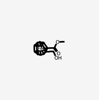 COC(=O)[C]12[CH]3[CH]4[CH]5[CH]1[Fe]45321678[CH]2[CH]1[CH]6[C]7(CO)[CH]28